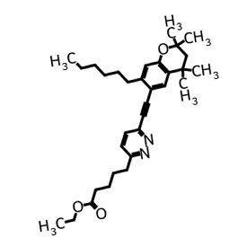 CCCCCCc1cc2c(cc1C#Cc1ccc(CCCCC(=O)OCC)nn1)C(C)(C)CC(C)(C)O2